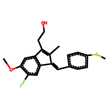 COc1cc2c(cc1F)C(=Cc1ccc(SC)cc1)C(C)=C2CCO